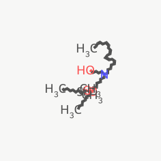 CC/C=C\C/C=C\C/C=C\C/C=C\C/C=C\CCCCN(CCCCO)CCCCCCOC(CCCCCCC)O[Si](C)(C)CCCCCCCC